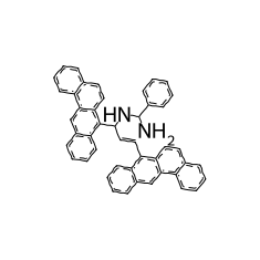 NC(NC(/C=C/c1c2ccccc2cc2c1ccc1ccccc12)c1c2ccccc2cc2c1ccc1ccccc12)c1ccccc1